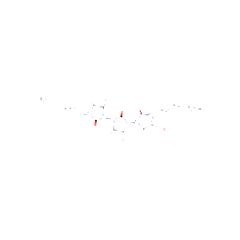 COCCCN1C(=O)N(N2C(=O)N(N3C(=O)N(CCCOC)C(O)C3O)C(O)C2C)C(O)C1O